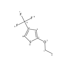 CCOc1cc(C(F)(F)F)cs1